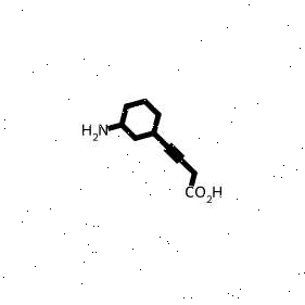 NC1CCCC(C#CCC(=O)O)C1